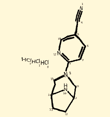 Cl.Cl.Cl.N#Cc1ccc(N2CC3CCC(C2)N3)nc1